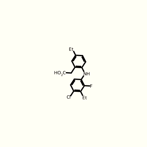 CCc1ccc(Nc2ccc(Cl)c(CC)c2F)c(CC(=O)O)c1